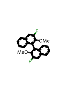 COc1c(F)cc2ccccc2c1-c1c(OC)c(F)cc2ccccc12